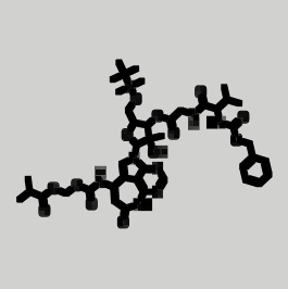 CC(C)C(=O)OCOC(=O)NC1=CC(=O)Nc2ncnc3c2c1cn3C1OC(CO[Si](C)(C)C(C)(C)C)C(OC(=O)CNC(=O)C(NC(=O)OCc2ccccc2)C(C)C)C1(C)O